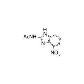 CC(=O)Nc1nc2c([N+](=O)[O-])cccc2[nH]1